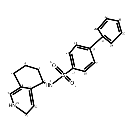 O=S(=O)(NC1CCCC2=CNCC=C21)c1ccc(-c2ccccc2)cc1